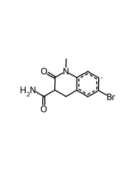 CN1C(=O)C(C(N)=O)Cc2cc(Br)[c]cc21